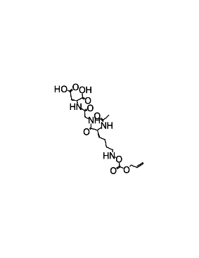 C=CCOC(=O)ONCCCC[C@H](NC(C)=O)C(=O)NCC(=O)N[C@@H](CC(=O)O)C(=O)O